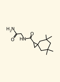 CC1(C)CC(C)(C)CC2(CC2C(=O)NCC(N)=O)C1